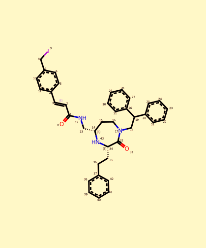 O=C(/C=C/c1ccc(CI)cc1)NC[C@@H]1CCN(CC(c2ccccc2)c2ccccc2)C(=O)[C@H](CCc2ccccc2)N1